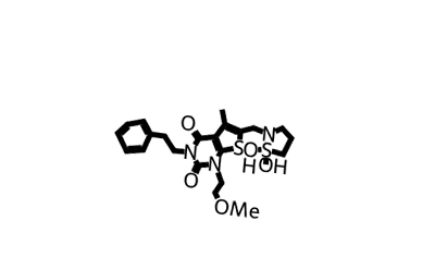 COCCn1c(=O)n(CCc2ccccc2)c(=O)c2c(C)c(CN3CCCS3(O)O)sc21